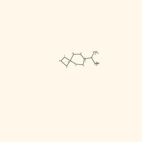 CCCCC(C)N1CCC2(CCC2)CC1